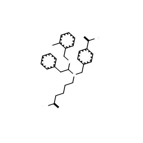 COC(=O)CCCCN(Cc1ccc(C(=O)OC)cc1)C(Cc1ccccc1)OCc1ccccc1Cl